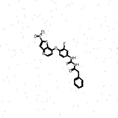 CC[S+]([O-])c1cc2nccc(Oc3ccc(NC(=S)NC(=O)Cc4ccccc4)cc3F)c2s1